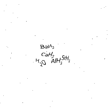 O.[AlH3].[BaH2].[CaH2].[SrH2]